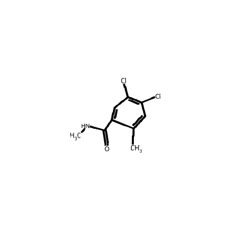 CNC(=O)c1cc(Cl)c(Cl)cc1C